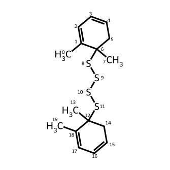 CC1=CC=CCC1(C)SSSSC1(C)CC=CC=C1C